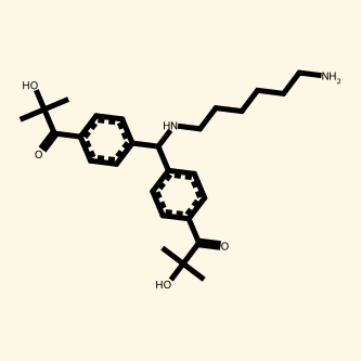 CC(C)(O)C(=O)c1ccc(C(NCCCCCCN)c2ccc(C(=O)C(C)(C)O)cc2)cc1